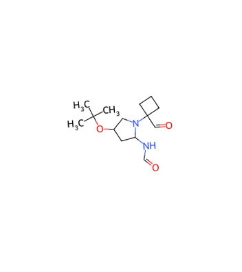 CC(C)(C)OC1CC(NC=O)N(C2(C=O)CCC2)C1